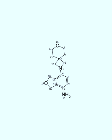 Nc1ccc(N2CC3(CCOCC3)C2)c2c1COC2